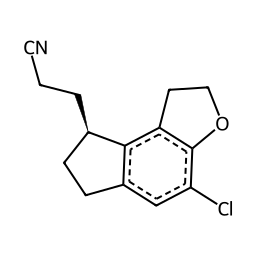 N#CCC[C@@H]1CCc2cc(Cl)c3c(c21)CCO3